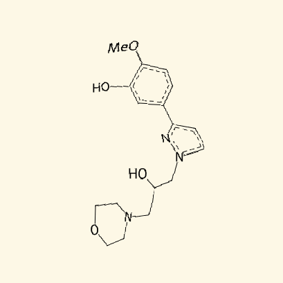 COc1ccc(-c2ccn(CC(O)CN3CCOCC3)n2)cc1O